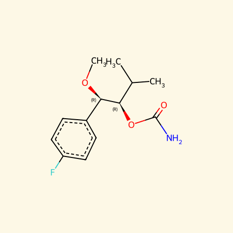 CO[C@H](c1ccc(F)cc1)[C@H](OC(N)=O)C(C)C